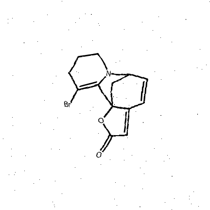 O=C1C=C2C=CC3CC2(O1)C1=C(Br)CCCN13